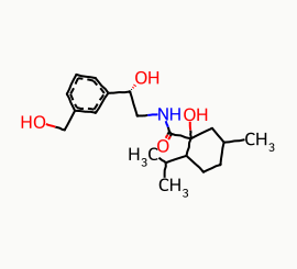 CC1CCC(C(C)C)C(O)(C(=O)NC[C@@H](O)c2cccc(CO)c2)C1